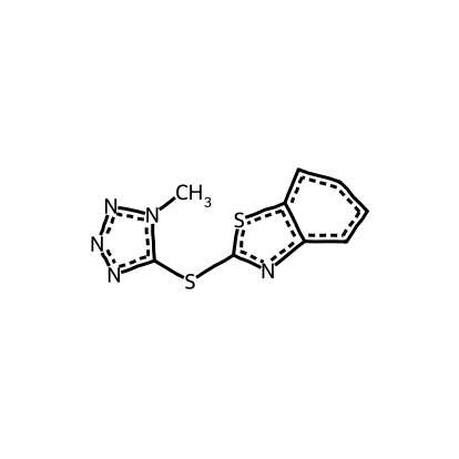 Cn1nnnc1Sc1nc2ccccc2s1